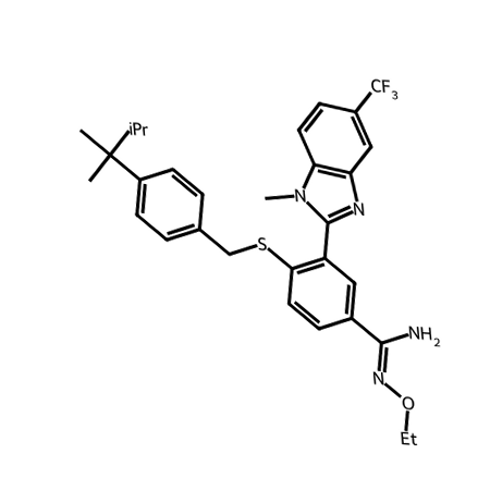 CCO/N=C(\N)c1ccc(SCc2ccc(C(C)(C)C(C)C)cc2)c(-c2nc3cc(C(F)(F)F)ccc3n2C)c1